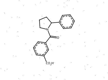 O=C(O)c1cccc(C(=O)N2CCCC2c2ccccc2)c1